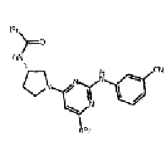 CCCc1cc(N2CC[C@H](NC(=O)C(C)C)C2)nc(Nc2cccc(C#N)c2)n1